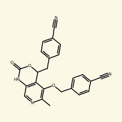 Cc1ncc2c(c1OCc1ccc(C#N)cc1)C(Cc1ccc(C#N)cc1)OC(=O)N2